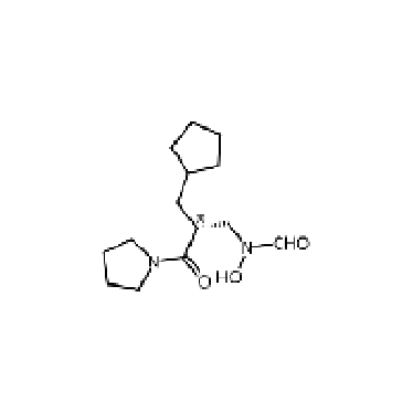 O=CN(O)C[C@@H](CC1CCCC1)C(=O)N1CCCC1